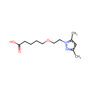 Cc1cc(C)n(CCOCCCCC(=O)O)n1